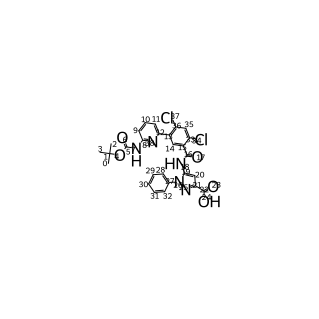 CC(C)(C)OC(=O)Nc1cccc(-c2cc(C(=O)Nc3cc(C(=O)O)nn3-c3ccccc3)c(Cl)cc2Cl)n1